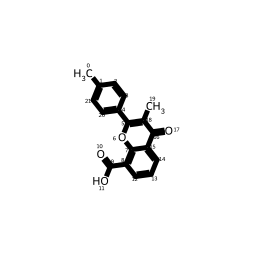 Cc1ccc(-c2oc3c(C(=O)O)cccc3c(=O)c2C)cc1